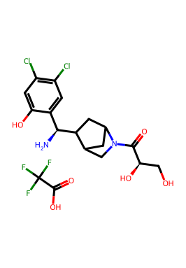 N[C@@H](c1cc(Cl)c(Cl)cc1O)C1CC2CC1CN2C(=O)[C@H](O)CO.O=C(O)C(F)(F)F